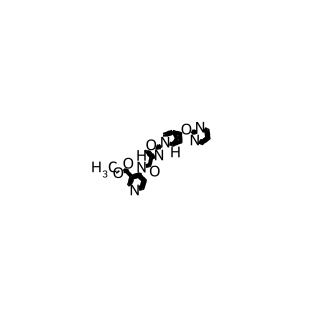 COC(=O)c1cnccc1NC(=O)c1coc(N2C=C3C[C@@H]2C[C@@H]3Oc2ncccn2)n1